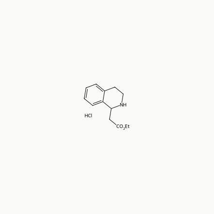 CCOC(=O)CC1NCCc2ccccc21.Cl